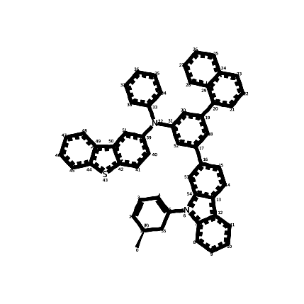 C[C@H]1C=CC=C(n2c3ccccc3c3ccc(-c4cc(-c5cccc6ccccc56)cc(N(c5ccccc5)c5ccc6sc7ccccc7c6c5)c4)cc32)C1